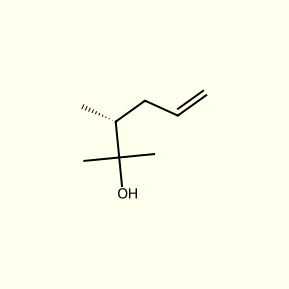 C=CC[C@@H](C)C(C)(C)O